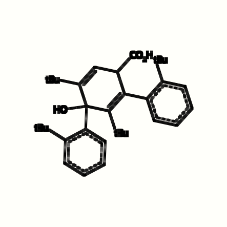 CC(C)(C)C1=CC(C(=O)O)C(c2ccccc2C(C)(C)C)=C(C(C)(C)C)C1(O)c1ccccc1C(C)(C)C